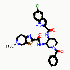 CN1CCc2nc(C(=O)NC3CN(C(=O)c4ccccc4)CCC3NC(=O)c3cc4cc(Cl)ccc4[nH]3)sc2C1